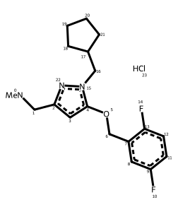 CNCc1cc(OCc2cc(F)ccc2F)n(CC2CCCC2)n1.Cl